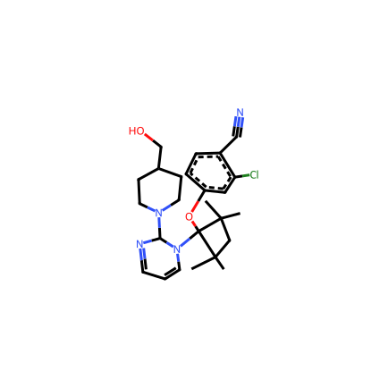 CC1(C)CC(C)(C)C1(Oc1ccc(C#N)c(Cl)c1)N1C=CC=NC1N1CCC(CO)CC1